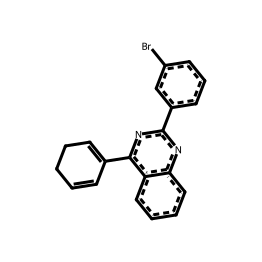 Brc1cccc(-c2nc(C3=CCCC=C3)c3ccccc3n2)c1